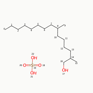 CCCCCCCCC(C)CCCCC(C)CO.O=S(=O)(O)O